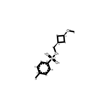 CO[C@H]1C[C@@H](COS(=O)(=O)c2ccc(C)cc2)C1